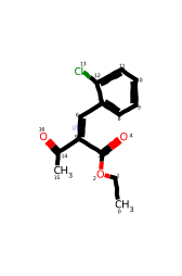 CCOC(=O)/C(=C\c1ccccc1Cl)C(C)=O